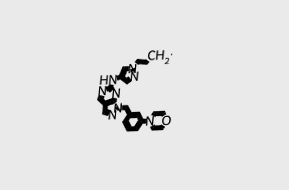 [CH2]CCn1cc(Nc2ncc3cnn(Cc4cccc(N5CCOCC5)c4)c3n2)cn1